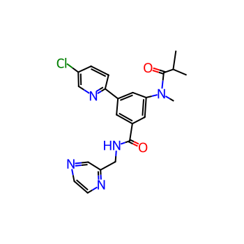 CC(C)C(=O)N(C)c1cc(C(=O)NCc2cnccn2)cc(-c2ccc(Cl)cn2)c1